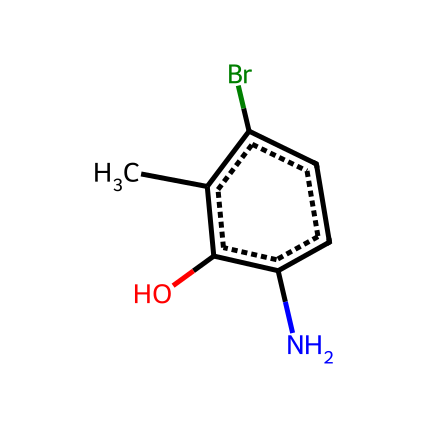 Cc1c(Br)ccc(N)c1O